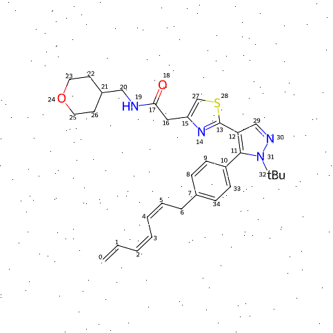 C=C/C=C\C=C/Cc1ccc(-c2c(-c3nc(CC(=O)NCC4CCOCC4)cs3)cnn2C(C)(C)C)cc1